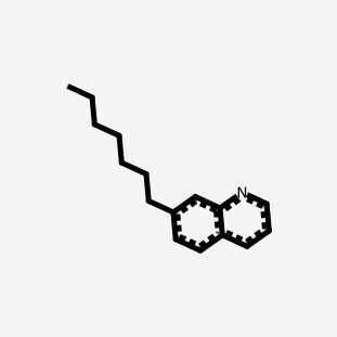 CCCCCCCc1ccc2cccnc2c1